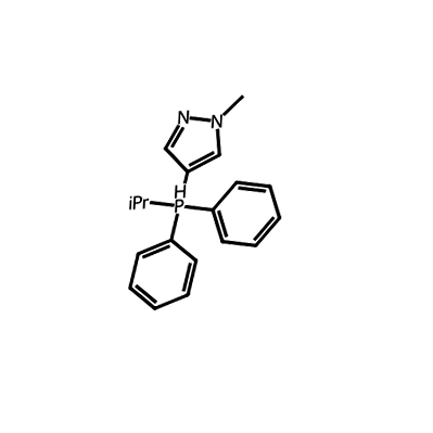 CC(C)[PH](c1ccccc1)(c1ccccc1)c1cnn(C)c1